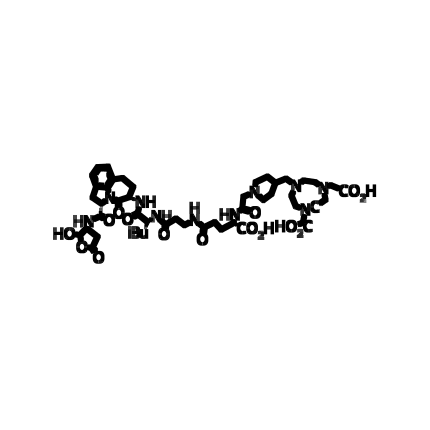 CC[C@H](C)[C@H](NC(=O)CCNC(=O)CC[C@H](NC(=O)CN1CCC(CN2CCN(CC(=O)O)CCN(CC(=O)O)CC2)CC1)C(=O)O)C(=O)N[C@H]1CCc2cccc3c2N(C1=O)[C@H](C(=O)NC1CC(=O)OC1O)C3